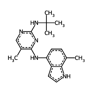 Cc1cnc(NC(C)(C)C)nc1Nc1ccc(C)c2[nH]ccc12